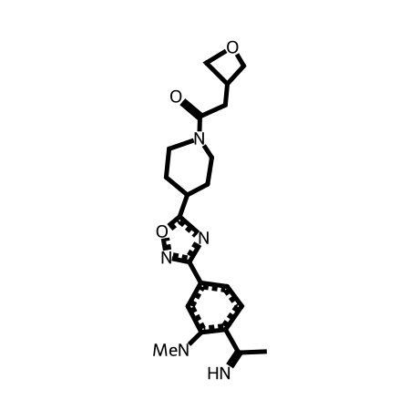 CNc1cc(-c2noc(C3CCN(C(=O)CC4COC4)CC3)n2)ccc1C(C)=N